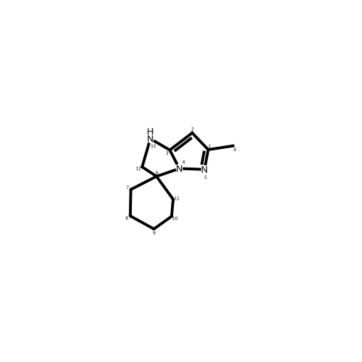 Cc1cc2n(n1)C1(CCCCC1)CN2